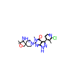 Cc1c(-c2n[nH]c3nc(N4CCC5(CC4)CO[C@@H](C)[C@H]5N)n(C)c(=O)c23)ccnc1Cl